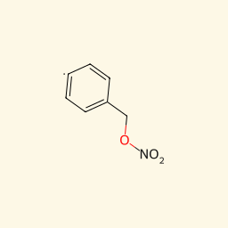 O=[N+]([O-])OCc1cc[c]cc1